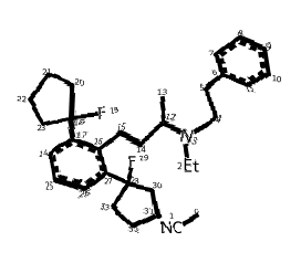 CC#N.CCN(CCc1ccccc1)C(C)CCc1c(C2(F)CCCC2)cccc1C1(F)CCCC1